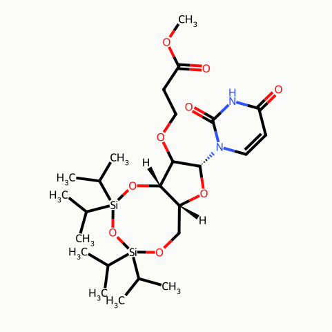 COC(=O)CCOC1[C@H]2O[Si](C(C)C)(C(C)C)O[Si](C(C)C)(C(C)C)OC[C@H]2O[C@H]1n1ccc(=O)[nH]c1=O